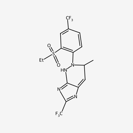 CCS(=O)(=O)c1cc(C(F)(F)F)ccc1N1NC2=NC(C(F)(F)F)=NC2=CC1C